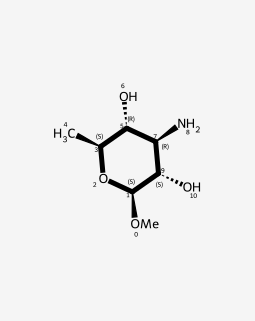 CO[C@H]1O[C@@H](C)[C@H](O)[C@@H](N)[C@@H]1O